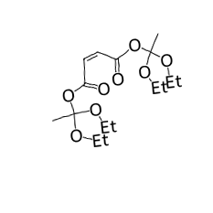 CCOC(C)(OCC)OC(=O)/C=C\C(=O)OC(C)(OCC)OCC